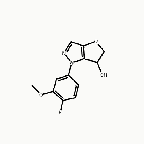 COc1cc(-n2ncc3c2C(O)CO3)ccc1F